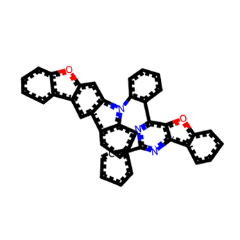 c1ccc(-c2nc(-c3ccccc3-n3c4ccccc4c4cc5c(cc43)oc3ccccc35)c3oc4ccccc4c3n2)cc1